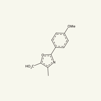 COc1ccc(-c2nc(C)c(C(=O)O)o2)cc1